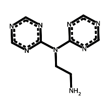 NCCN(c1ncncn1)c1ncncn1